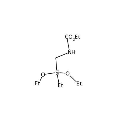 CCOC(=O)NC[Si](CC)(OCC)OCC